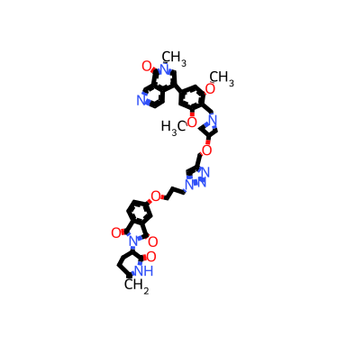 C=C1CCC(N2C(=O)c3ccc(OCCCn4cc(COC5CN(Cc6c(OC)cc(-c7cn(C)c(=O)c8cnccc78)cc6OC)C5)nn4)cc3C2=O)C(=O)N1